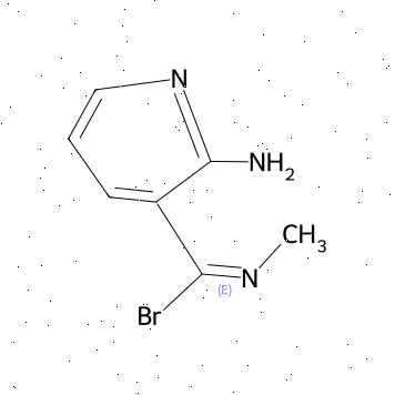 C/N=C(/Br)c1cccnc1N